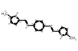 Cc1ccc(C=Nc2ccc(N=Cc3ccc(C)s3)cc2)s1